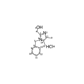 Cc1nc(CO)n(Cc2ccccc2)c1C.Cl